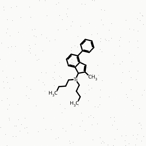 CCC[CH2][Ti]([CH2]CCC)[CH]1C(C)=Cc2c(-c3ccccc3)cccc21